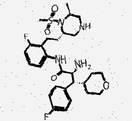 C[C@H]1CNC[C@H](CCc2c(F)cccc2NC(=O)[C@@H](N)[C@@H](c2ccc(F)cc2)C2CCOCC2)N1S(C)(=O)=O